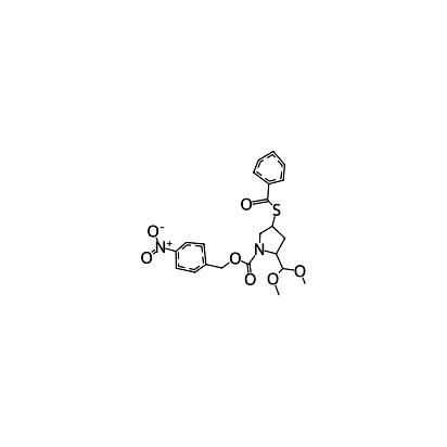 COC(OC)C1CC(SC(=O)c2ccccc2)CN1C(=O)OCc1ccc([N+](=O)[O-])cc1